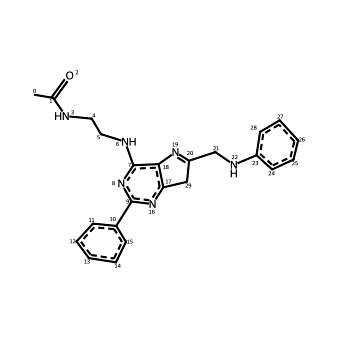 CC(=O)NCCNc1nc(-c2ccccc2)nc2c1N=C(CNc1ccccc1)C2